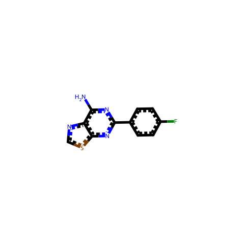 Nc1nc(-c2ccc(F)cc2)nc2scnc12